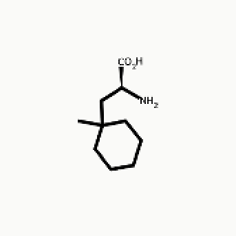 CC1(C[C@H](N)C(=O)O)CCCCC1